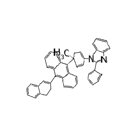 CC1(c2c3ccccc3c(C3=Cc4ccccc4CC3)c3ccccc23)C=CC(n2c(-c3ccccc3)nc3ccccc32)=CC1